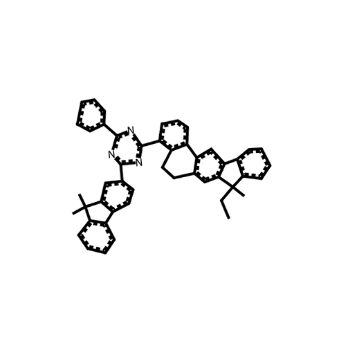 CCC1(C)c2ccccc2-c2cc3c(cc21)CCc1c(-c2nc(-c4ccccc4)nc(-c4ccc5c(c4)C(C)(C)c4ccccc4-5)n2)cccc1-3